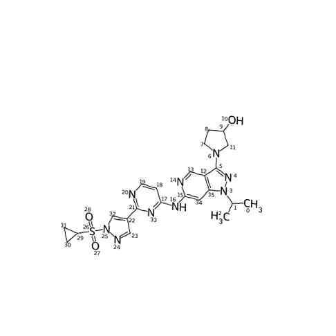 CC(C)n1nc(N2CCC(O)C2)c2cnc(Nc3ccnc(-c4cnn(S(=O)(=O)C5CC5)c4)n3)cc21